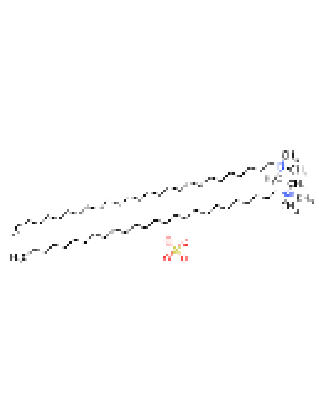 CCCCCCCCCCCCCCCCCCCCCCCCCC[N+](C)(C)C.CCCCCCCCCCCCCCCCCCCCCCCCCC[N+](C)(C)C.O=S(=O)([O-])[O-]